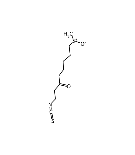 C[S+]([O-])CCCCCC(=O)CCN=C=S